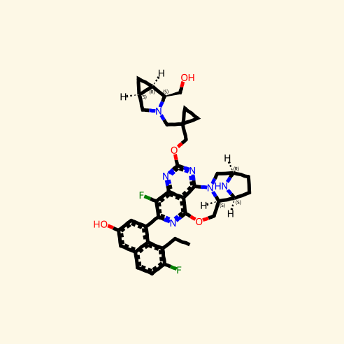 CCc1c(F)ccc2cc(O)cc(-c3nc4c5c(nc(OCC6(CN7C[C@H]8C[C@H]8[C@H]7CO)CC6)nc5c3F)N3C[C@H]5CC[C@H](N5)[C@H]3CO4)c12